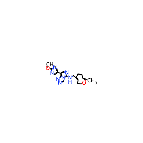 COc1ncc(-c2cnc(NCC3=C\CCO/C(C)=C/C=C\3)n3cnnc23)cn1